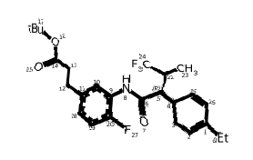 CCC1=CCC([C@@H](C(=O)Nc2cc(CCC(=O)OC(C)(C)C)ccc2F)C(C)C(F)(F)F)C=C1